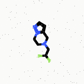 FC(F)CN1CCn2n[c]cc2C1